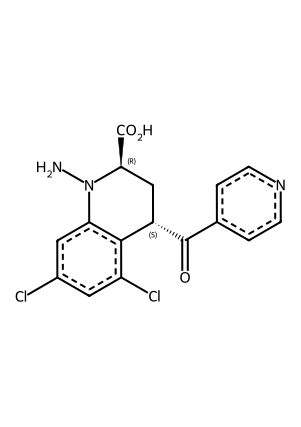 NN1c2cc(Cl)cc(Cl)c2[C@@H](C(=O)c2ccncc2)C[C@@H]1C(=O)O